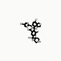 CCC(O)(c1cc(F)c2c(c1)C(=O)N(Cc1ncc(Cl)cn1)[C@@]2(O[C@H]1CCOC1)c1ccc(Cl)cc1)C1(F)CCNCC1